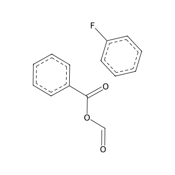 Fc1ccccc1.O=COC(=O)c1ccccc1